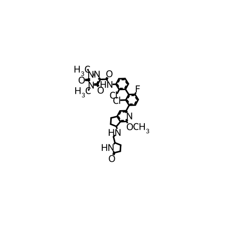 COc1nc(-c2ccc(F)c(-c3cccc(NC(=O)c4nn(C)c(=O)n(C)c4=O)c3Cl)c2Cl)cc2c1C(NCC1CCC(=O)N1)CC2